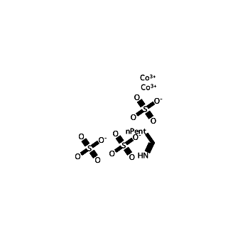 CCCCCC=N.O=S(=O)([O-])[O-].O=S(=O)([O-])[O-].O=S(=O)([O-])[O-].[Co+3].[Co+3]